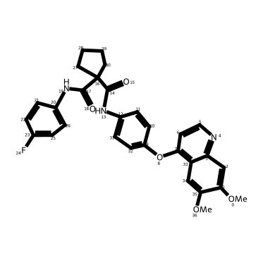 COc1cc2nccc(Oc3ccc(NC(=O)C4(C(=O)Nc5ccc(F)cc5)CCCC4)cc3)c2cc1OC